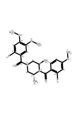 COc1ccc(C(=O)N2[C@H](C)CN(C(=O)c3cc(OC)c(OC)cc3F)C[C@H]2C)c(F)c1